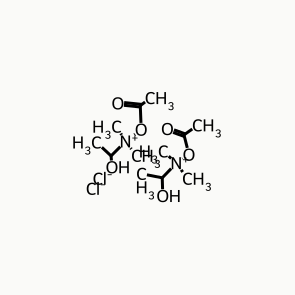 CC(=O)O[N+](C)(C)C(C)O.CC(=O)O[N+](C)(C)C(C)O.[Cl-].[Cl-]